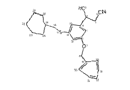 N#CCC(O)c1cc(OCc2ccccc2)cc(SCC2CCCCC2)c1